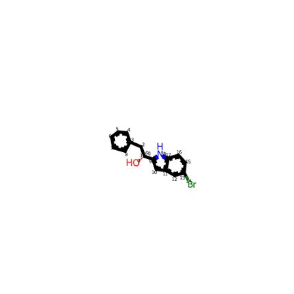 O[C@H](Cc1ccccc1)c1cc2cc(Br)ccc2[nH]1